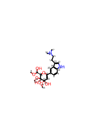 COC(O)[C@H]1OC(c2ccc3[nH]cc(CCN(C)C)c3c2)=C[C@](O)(OC)[C@@]1(O)OC